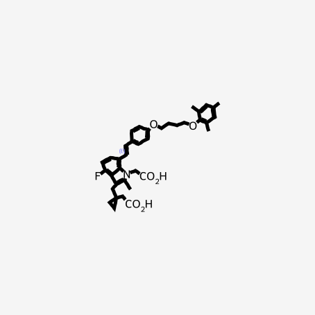 Cc1cc(C)c(OCCCCOc2ccc(/C=C/c3ccc(F)c4c(CC5(CC(=O)O)CC5)c(C)n(CC(=O)O)c34)cc2)c(C)c1